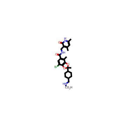 Cc1cc(C)c(CNC(=O)c2cc(Br)c3c(c2C)OC(C)(C2CCC(CNC(=O)O)CC2)O3)c(=O)[nH]1